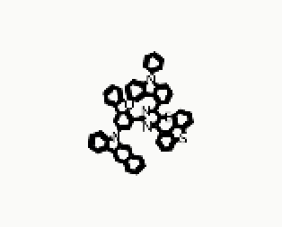 CCC1C(c2cccc3sc4ccccc4c23)=NC(c2cc(-n3c4ccccc4c4cc5ccccc5cc43)cc3c2oc2ccccc23)=NC1c1cccc2c1c1ccccc1n2-c1ccccc1